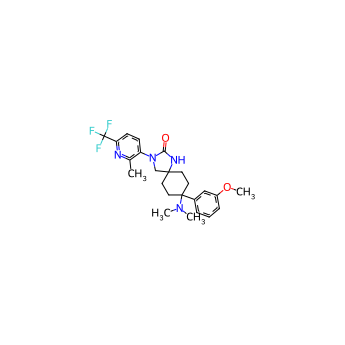 COc1cccc(C2(N(C)C)CCC3(CC2)CN(c2ccc(C(F)(F)F)nc2C)C(=O)N3)c1